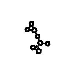 c1ccc(-c2cc(-c3ccc(-c4ccc5c6ccccc6c6ccccc6c5c4)cc3)cc(-n3c4ccccc4c4ccccc43)c2)cc1